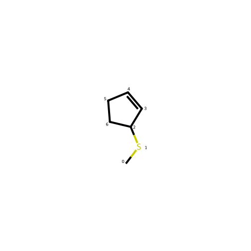 CSC1C=CCC1